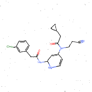 N#CCCN(C(=O)CC1CC1)C1=CC(NC(=O)Cc2cccc(Cl)c2)NC=C1